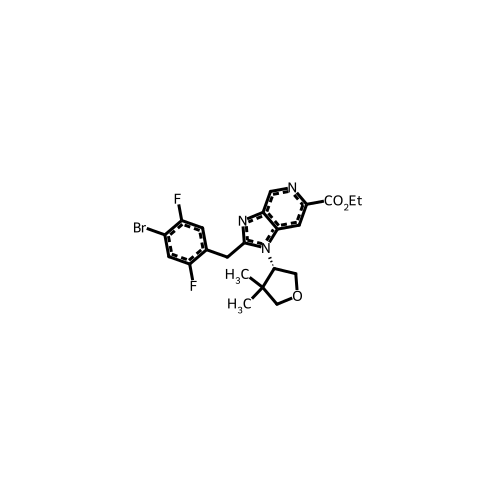 CCOC(=O)c1cc2c(cn1)nc(Cc1cc(F)c(Br)cc1F)n2[C@@H]1COCC1(C)C